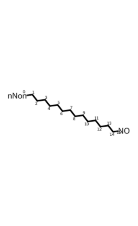 CCCCCCCCCCCCCCCCCCCCCCCN=O